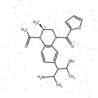 CC(=O)N1c2ccc(C(C(C)N)C(C)O)cc2N(C(=O)c2ccco2)C[C@@H]1C